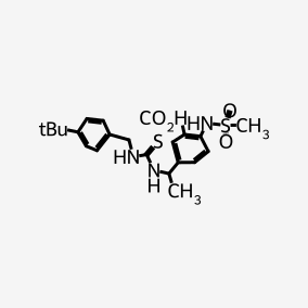 CC(NC(=S)NCc1ccc(C(C)(C)C)cc1)c1ccc(NS(C)(=O)=O)c(C(=O)O)c1